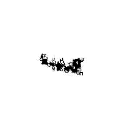 O=C(CO[C@H]1C[C@@H](OC(F)(F)F)C1)NC12CC(C1)C(NC(=O)[C@H]1C[C@H](O)c3cc(Cl)ccc3O1)C2